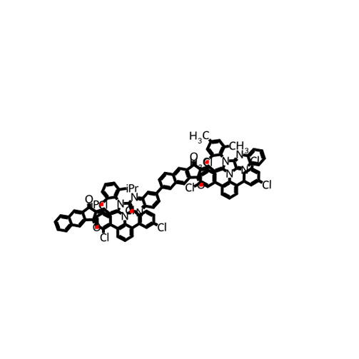 Cc1cc(C)c(N2/C(=C\C=C3\C(=O)c4cc5ccc(-c6ccc7nc8c(nc7c6)N(c6c(C(C)C)cccc6C(C)C)/C(=C\C=C6C(=O)c7cc9ccccc9cc7C6=O)N8c6c(-c7cc(Cl)ccc7Cl)cccc6-c6cc(Cl)ccc6Cl)cc5cc4C3=O)N(c3c(-c4cc(Cl)cc(Cl)c4)cccc3C3C=C(Cl)C=C(Cl)C3)c3nc4ccccc4nc32)c(C)c1